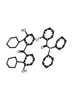 Cc1ccccc1C(=O)P(c1ccccc1)c1ccccc1.O=C(c1cccc(O)c1C1CCCCC1)c1cccc(O)c1C1CCCCC1